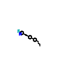 CCCCc1ccc(-c2ccc(C#Cc3ccc(F)nc3)cc2)cc1